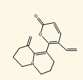 C=Cc1ccc(=O)oc1C1=C2C(=C)CCCN2CCC1